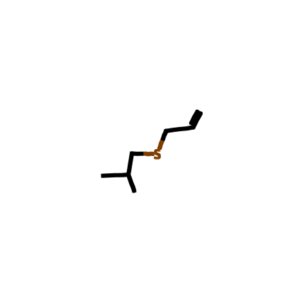 C=CCSCC(C)C